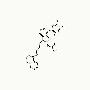 Cc1cc(C)c(-c2cccc3c(CCCOc4cccc5ccccc45)c(OC(=O)O)[nH]c23)cc1C